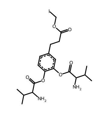 CC(C)C(N)C(=O)Oc1ccc(CCC(=O)OCI)cc1OC(=O)C(N)C(C)C